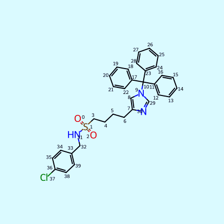 O=S(=O)(CCCCc1cn(C(c2ccccc2)(c2ccccc2)c2ccccc2)cn1)NCc1ccc(Cl)cc1